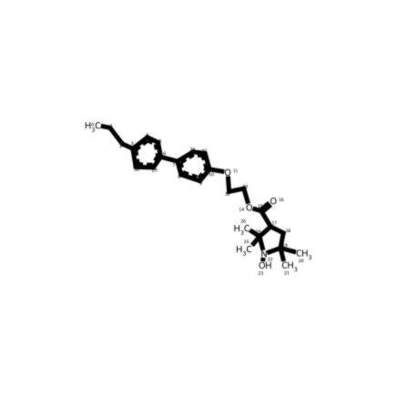 CCCc1ccc(-c2ccc(OCCOC(=O)C3CC(C)(C)N(O)C3(C)C)cc2)cc1